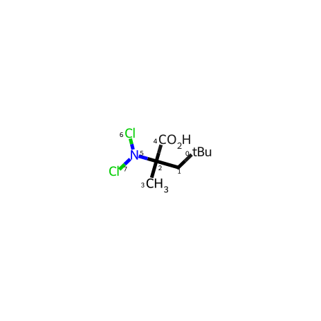 CC(C)(C)CC(C)(C(=O)O)N(Cl)Cl